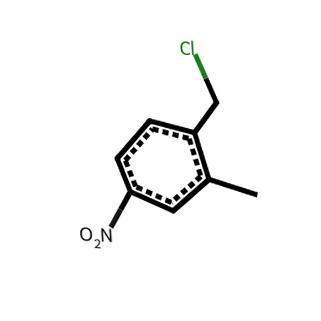 Cc1cc([N+](=O)[O-])ccc1CCl